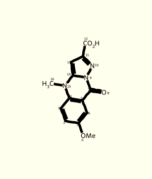 COc1ccc2c(c1)c(=O)n1nc(C(=O)O)cc1n2C